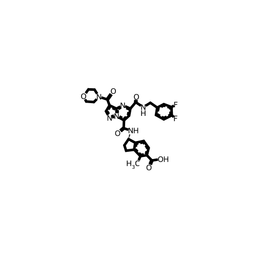 Cc1c(C(=O)O)ccc2c1CC[C@@H]2NC(=O)c1cc(C(=O)NCc2ccc(F)c(F)c2)nc2c(C(=O)N3CCOCC3)cnn12